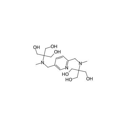 CN(Cc1ccc(CN(C)C(CO)(CO)CO)nc1)C(CO)(CO)CO